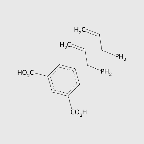 C=CCP.C=CCP.O=C(O)c1cccc(C(=O)O)c1